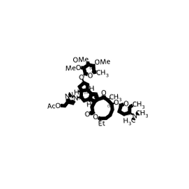 CC[C@H]1CCC[C@H](O[C@H]2CC[C@H](N(C)C)C(C)O2)[C@@H](C)C(=O)C2=C[C@@H]3[C@@H](C[C@@H](n4cc(COC(C)=O)nn4)[C@@H]4C[C@@H](O[C@@H]5OC(C)[C@H](OC)C(OC)C5OC)C[C@@H]34)[C@@H]2CC(=O)O1